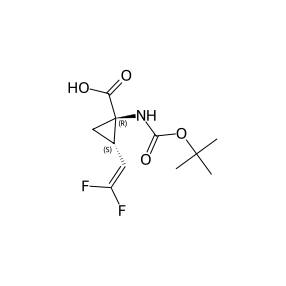 CC(C)(C)OC(=O)N[C@]1(C(=O)O)C[C@H]1C=C(F)F